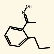 CCCc1ccccc1/C(C)=N/O